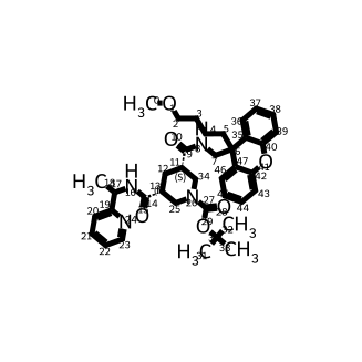 COCCCCC1(CNC(=O)[C@H]2C[C@@H](C(=O)NC(C)c3ccccn3)CN(C(=O)OC(C)(C)C)C2)c2ccccc2Oc2ccccc21